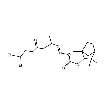 CCC(CC)CCC(=O)CC(C)C=NOC(=O)NC1C2(C)CCC(C2)C1(C)C